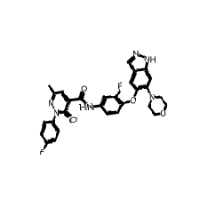 Cc1cc(C(=O)Nc2ccc(Oc3cc4cn[nH]c4cc3N3CCOCC3)c(F)c2)c(=O)n(-c2ccc(F)cc2)n1